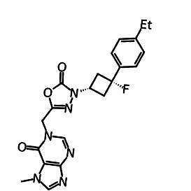 CCc1ccc([C@]2(F)C[C@@H](n3nc(Cn4cnc5ncn(C)c5c4=O)oc3=O)C2)cc1